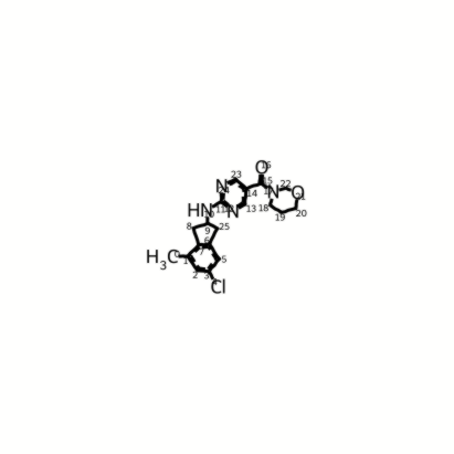 Cc1cc(Cl)cc2c1CC(Nc1ncc(C(=O)N3CCCOC3)cn1)C2